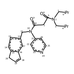 CC(C)CN(CC(C)C)C(=O)CC(=O)N(Cc1ccc2c(c1)C=CC2)c1ccncc1